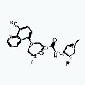 C[C@@H]1CN(c2ccc(C#N)c3ncccc23)C[C@H](C(=O)N[C@@H]2CN(C)C[C@@H]2F)O1